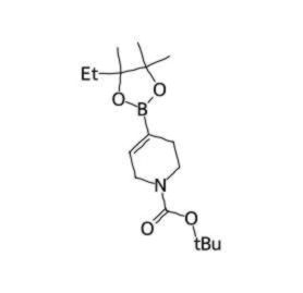 CCC1(C)OB(C2=CCN(C(=O)OC(C)(C)C)CC2)OC1(C)C